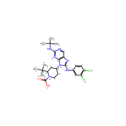 CC(C)(C)Nc1ncc2nc(Nc3ccc(Cl)c(Cl)c3)n(C3CCN(C(=O)O)C(C(C)(C)C)C3)c2n1